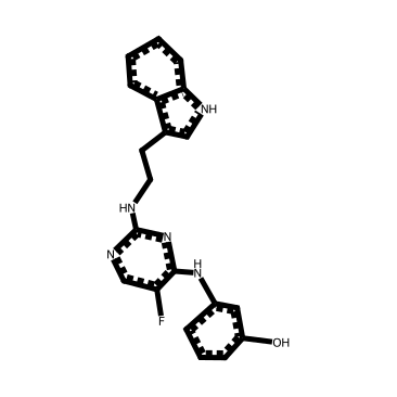 Oc1cccc(Nc2nc(NCCc3c[nH]c4ccccc34)ncc2F)c1